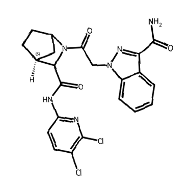 NC(=O)c1nn(CC(=O)N2C3CC[C@@H](C3)C2C(=O)Nc2ccc(Cl)c(Cl)n2)c2ccccc12